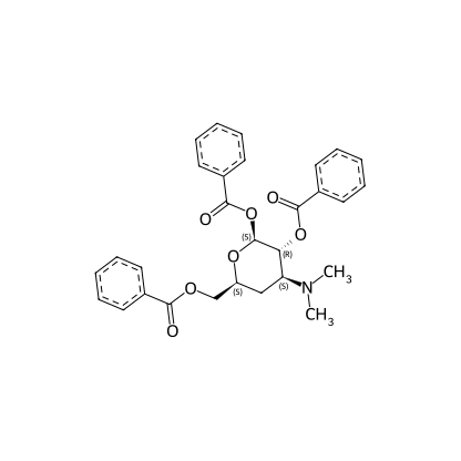 CN(C)[C@H]1C[C@@H](COC(=O)c2ccccc2)O[C@@H](OC(=O)c2ccccc2)[C@@H]1OC(=O)c1ccccc1